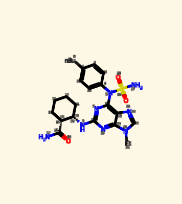 CCCCc1ccc(N(c2nc(N[C@H]3CCCC[C@H]3C(N)=O)nc3c2ncn3CC)S(N)(=O)=O)cc1